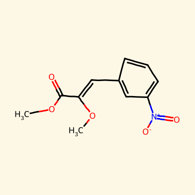 COC(=O)/C(=C/c1cccc([N+](=O)[O-])c1)OC